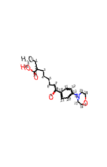 CCC(CCCCCC(=O)c1ccc(N2CCOCC2)cc1)C(=O)O